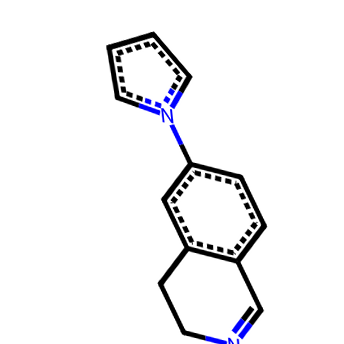 C1=NCCc2cc(-n3cccc3)ccc21